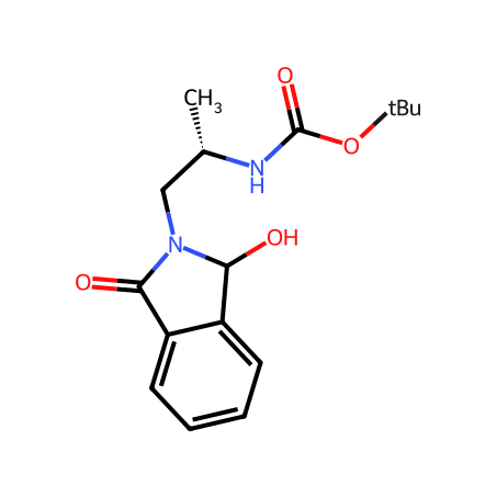 C[C@@H](CN1C(=O)c2ccccc2C1O)NC(=O)OC(C)(C)C